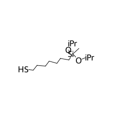 CC(C)O[Si](C)(CCCCCCCS)OC(C)C